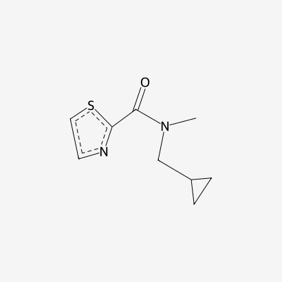 CN(CC1CC1)C(=O)c1nccs1